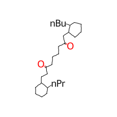 CCCCC1CCCCC1CC(=O)CCCCC(=O)CCC1CCCCC1CCC